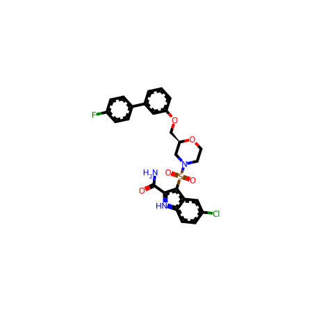 NC(=O)c1[nH]c2ccc(Cl)cc2c1S(=O)(=O)N1CCO[C@H](COc2cccc(-c3ccc(F)cc3)c2)C1